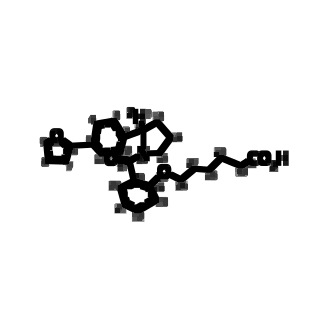 [2H]C1(c2ccc(-c3ccco3)cc2)CCCN1C(=O)c1ccccc1OCCCCCC(=O)O